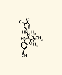 C#Cc1ccc(N/C(=N\Nc2ccc(Cl)c(Cl)c2)C(=O)C(C)(C)C)cc1